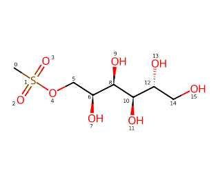 CS(=O)(=O)OC[C@H](O)[C@@H](O)[C@H](O)[C@H](O)CO